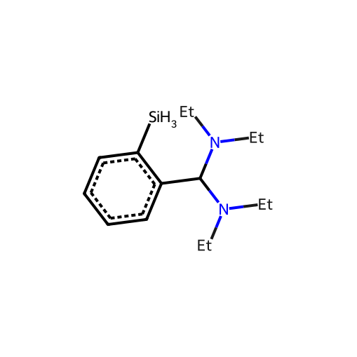 CCN(CC)C(c1ccccc1[SiH3])N(CC)CC